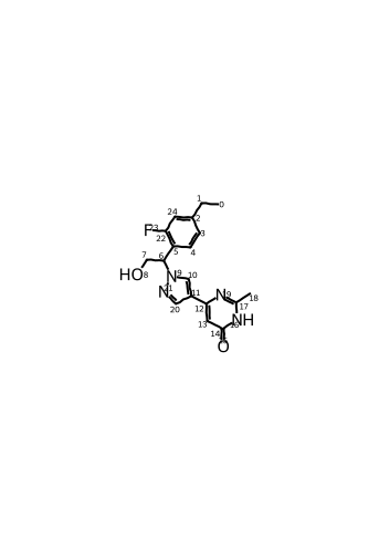 CCc1ccc(C(CO)n2cc(-c3cc(=O)[nH]c(C)n3)cn2)c(F)c1